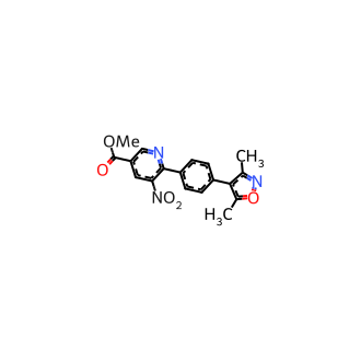 COC(=O)c1cnc(-c2ccc(-c3c(C)noc3C)cc2)c([N+](=O)[O-])c1